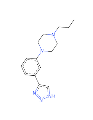 CCCN1CCN(c2cccc(-c3c[nH]nn3)c2)CC1